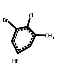 Cc1cccc(Br)c1Cl.F